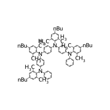 CCCCc1cc(C)c(N(c2ccccc2)c2ccc(N(c3ccc(N(c4ccc(N(c5ccccc5)c5c(C)cc(CCCC)cc5C)cc4)c4c(C)cc(CCCC)cc4C)cc3)c3c(C)cc(CCCC)cc3C)cc2)c(C)c1